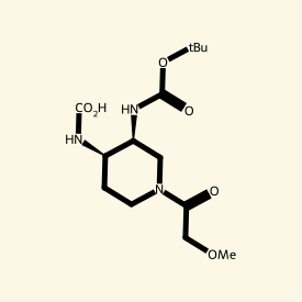 COCC(=O)N1CC[C@@H](NC(=O)O)[C@@H](NC(=O)OC(C)(C)C)C1